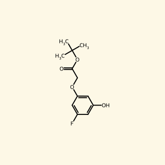 CC(C)(C)OC(=O)COc1cc(O)cc(F)c1